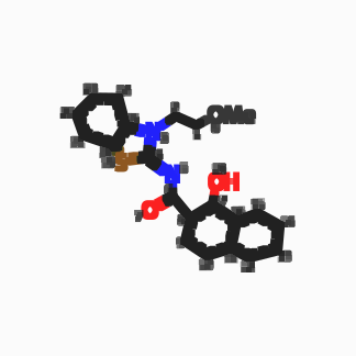 COCCn1/c(=N/C(=O)c2ccc3ccccc3c2O)sc2ccccc21